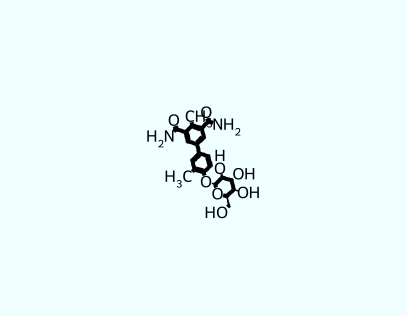 Cc1cc(-c2cc(C(N)=O)c(C)c(C(N)=O)c2)ccc1O[C@H]1O[C@H](CO)[C@@H](O)[C@H](O)[C@@H]1O